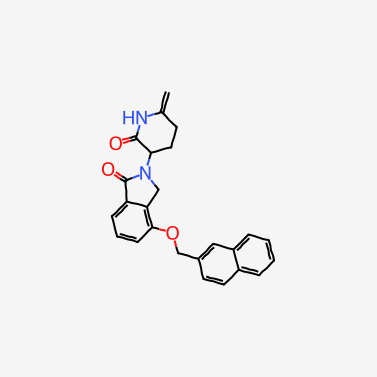 C=C1CCC(N2Cc3c(OCc4ccc5ccccc5c4)cccc3C2=O)C(=O)N1